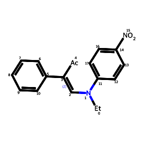 CCN(/C=C(\C(C)=O)c1ccccc1)c1ccc([N+](=O)[O-])cc1